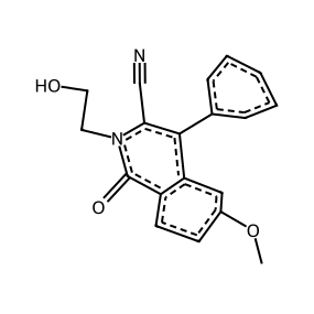 COc1ccc2c(=O)n(CCO)c(C#N)c(-c3ccccc3)c2c1